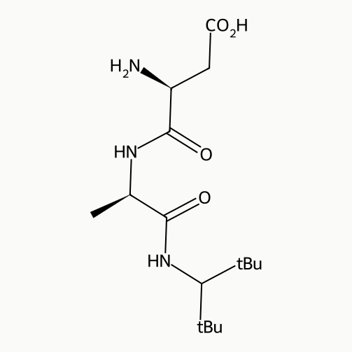 C[C@@H](NC(=O)[C@@H](N)CC(=O)O)C(=O)NC(C(C)(C)C)C(C)(C)C